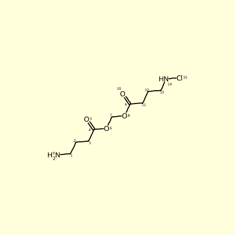 NCCCC(=O)OCOC(=O)CCCNCl